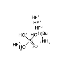 CCCCN.F.F.F.F.O=P(O)(O)O